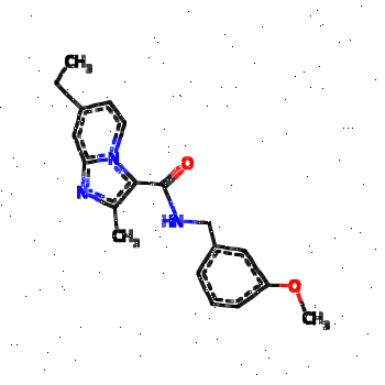 CCc1ccn2c(C(=O)NCc3cccc(OC)c3)c(C)nc2c1